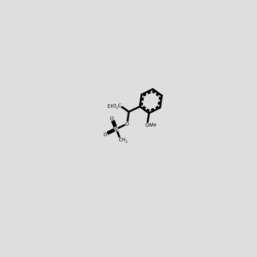 CCOC(=O)C(OS(C)(=O)=O)c1ccccc1OC